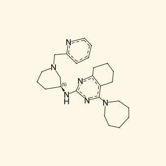 c1ccc(CN2CCC[C@H](Nc3nc4c(c(N5CCCCCC5)n3)CCCC4)C2)nc1